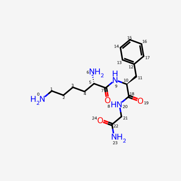 NCCCC[C@H](N)C(=O)N[C@@H](Cc1ccccc1)C(=O)NCC(N)=O